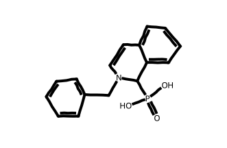 O=P(O)(O)C1c2ccccc2C=CN1Cc1ccccc1